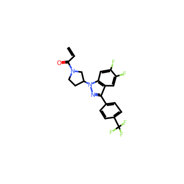 C=CC(=O)N1CCC(n2nc(-c3ccc(C(F)(F)F)cc3)c3cc(F)c(F)cc32)C1